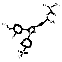 COc1ccc(-c2cc(C#CC(C)SC(=S)N(C)O)nn2-c2ccc(S(N)(=O)=O)cc2)cc1F